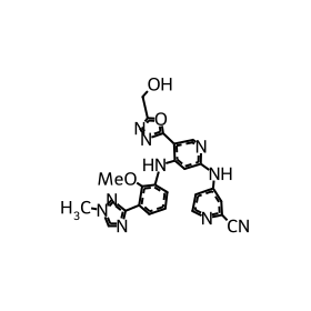 COc1c(Nc2cc(Nc3ccnc(C#N)c3)ncc2-c2nnc(CO)o2)cccc1-c1ncn(C)n1